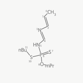 CC=CN=CNP(=S)(OCCC)SCCCC